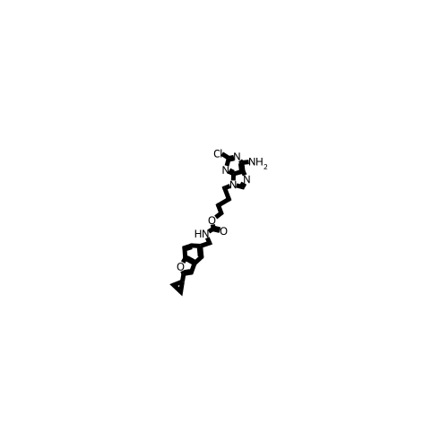 Nc1nc(Cl)nc2c1ncn2CCCCOC(=O)NCc1ccc2oc(C3CC3)cc2c1